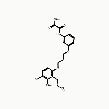 COC(=O)C(=O)Nc1cccc(OCCCOc2ccc(C(C)=O)c(OC)c2CCC(F)(F)F)c1